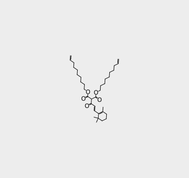 C=CCCCCCCCCOC(=O)C(C(=O)/C=C/C1=C(C)CCCC1(C)C)C(=O)OCCCCCCCCC=C